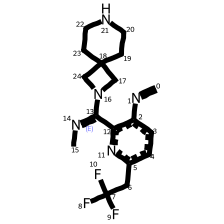 C=Nc1ccc(CC(F)(F)F)nc1/C(=N\C)N1CC2(CCNCC2)C1